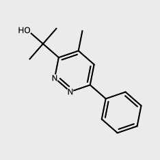 Cc1cc(-c2ccccc2)nnc1C(C)(C)O